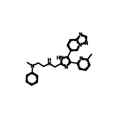 Cc1cccc(-c2nc(CNCCN(C)c3ccccc3)[nH]c2-c2ccc3ncnn3c2)n1